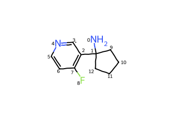 NC1(c2[c]nccc2F)CCCC1